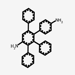 Nc1ccc(-c2c(-c3ccccc3)cc(N)c(-c3ccccc3)c2-c2ccccc2)cc1